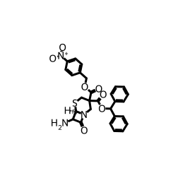 NC1C(=O)N2CC(C(=O)OCc3ccc([N+](=O)[O-])cc3)(C(=O)OC(c3ccccc3)c3ccccc3)CS[C@H]12